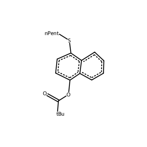 CCCCCSc1ccc(OC(=O)C(C)(C)C)c2ccccc12